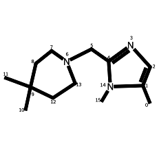 Cc1cnc(CN2CCC(C)(C)CC2)n1C